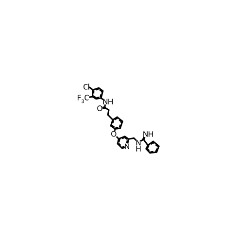 N=C(NCc1cc(Oc2cccc(CCC(=O)Nc3ccc(Cl)c(C(F)(F)F)c3)c2)ccn1)c1ccccc1